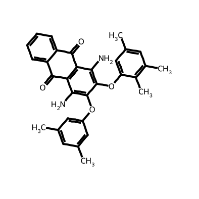 Cc1cc(C)cc(Oc2c(N)c3c(c(N)c2Oc2cc(C)cc(C)c2C)C(=O)c2ccccc2C3=O)c1